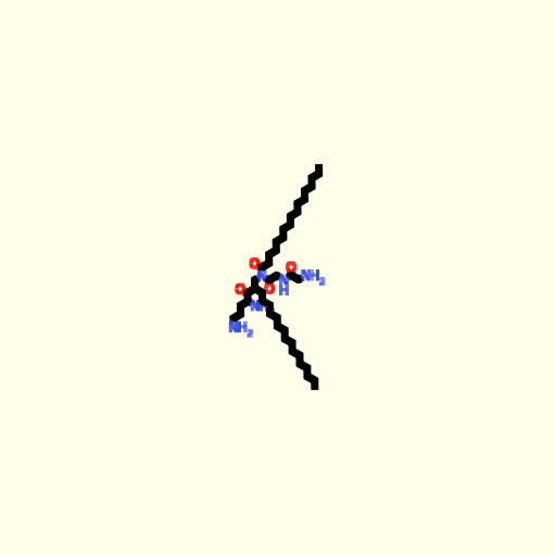 CCCCCCCCCCCCCCCCC(=O)N(CC(CCCCCCCCCCCCCCCC)C(=O)C(N)CCCN)C(=O)CNC(=O)CN